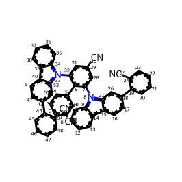 N#Cc1cccc(-c2c(-n3c4ccccc4c4ccc(-c5ccccc5C#N)cc43)cc(C#N)cc2-n2c3ccccc3c3ccc(-c4ccccc4C#N)cc32)c1